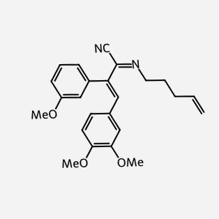 C=CCCC/N=C(C#N)\C(=C\c1ccc(OC)c(OC)c1)c1cccc(OC)c1